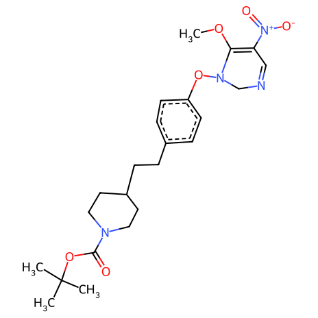 COC1=C([N+](=O)[O-])C=NCN1Oc1ccc(CCC2CCN(C(=O)OC(C)(C)C)CC2)cc1